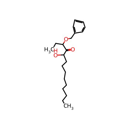 CCCCCCCCCC(O)C(=O)C(CC)OCc1ccccc1